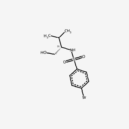 CC(C)[C@@H](CO)NS(=O)(=O)c1ccc(Br)cc1